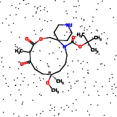 CO[C@]1(C)CCCN(C(=O)OC(C)(C)C)C2(CCNCC2)COC(=O)C(C)C(=O)CC1